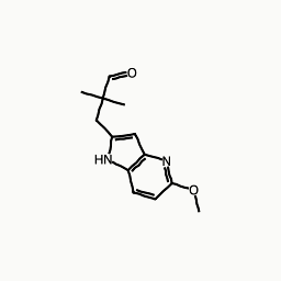 COc1ccc2[nH]c(CC(C)(C)C=O)cc2n1